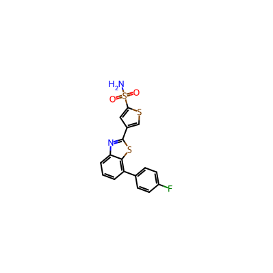 NS(=O)(=O)c1cc(-c2nc3cccc(-c4ccc(F)cc4)c3s2)cs1